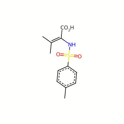 CC(C)=C(NS(=O)(=O)c1ccc(C)cc1)C(=O)O